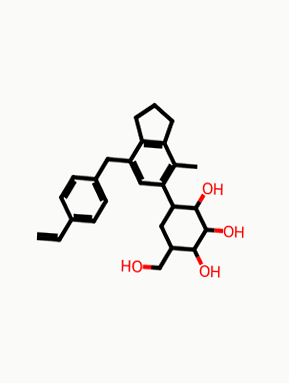 C=Cc1ccc(Cc2cc(C3CC(CO)C(O)C(O)C3O)c(C)c3c2CCC3)cc1